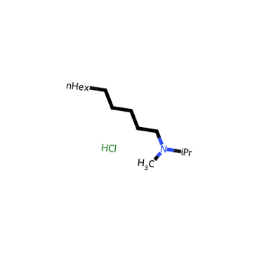 CCCCCCCCCCCN(C)C(C)C.Cl